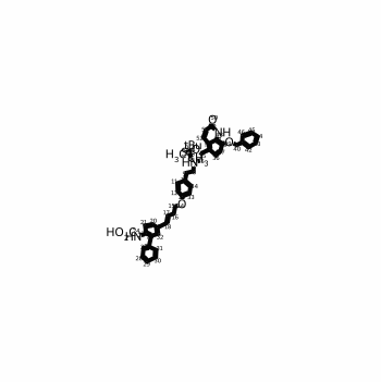 CC(C)(C)[Si](C)(C)O[C@@H](CNCCc1ccc(OCC/C=C/c2ccc(NC(=O)O)c(-c3ccccc3)c2)cc1)c1ccc(OCc2ccccc2)c2[nH]c(=O)ccc12